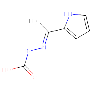 CC(=NNC(=O)O)c1ccc[nH]1